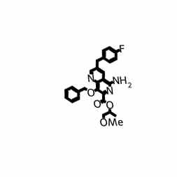 COCC(C)OC(=O)c1nc(N)c2cc(Cc3ccc(F)cc3)cnc2c1OCc1ccccc1